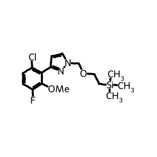 COc1c(F)ccc(Cl)c1-c1ccn(COCC[Si](C)(C)C)n1